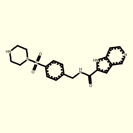 O=C(NCc1ccc(S(=O)(=O)N2CCNCC2)cc1)c1cc2cnccc2[nH]1